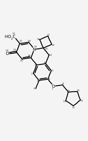 Cc1cc2c(cc1OCC1CCCC1)CC1(CCC1)n1cc(C(=O)O)c(=O)cc1-2